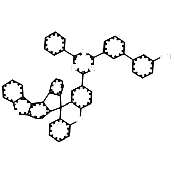 N#Cc1cccc(-c2cccc(-c3nc(-c4ccccc4)nc(-c4ccc5c(c4)C4(c6ccccc6O5)c5ccccc5-c5c4ccc4sc6ccccc6c54)n3)c2)c1